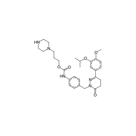 COc1ccc(C2=NN(Cc3ccc(NC(=O)OCCCN4CCNCC4)cc3)C(=O)CC2)cc1OC(C)C